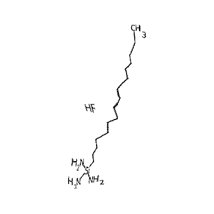 CCCCCCCCCCCCCCCC[Si](N)(N)N.F